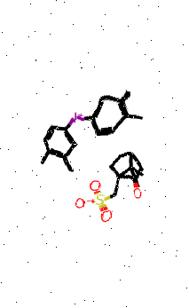 CC1(C)C2CCC1(CS(=O)(=O)[O-])C(=O)C2.Cc1ccc([I+]c2ccc(C)c(C)c2)cc1C